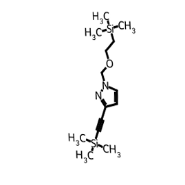 C[Si](C)(C)C#Cc1ccn(COCC[Si](C)(C)C)n1